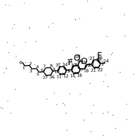 CCCCCCC1CCC(c2ccc(-c3ccc4cc(-c5ccc(C)c(F)c5)oc(=O)c4c3F)cc2)CC1